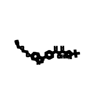 C#CCOCCOc1ccc2c(c1)ncn2-c1ccc(NC(=O)Nc2cc(C(C)(C)C)n[nH]2)cc1